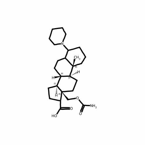 C[C@]12CCCC(N3CCCCC3)C1CC[C@H]1[C@@H]3CCC(C(=O)O)[C@@]3(COC(N)=O)CC[C@@H]12